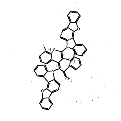 C=C(/C(=C(\C(C)=C(/C)n1c2ccccc2c2c3oc4ccccc4c3ccc21)c1cccc(F)c1)n1c2ccccc2c2c3oc4ccccc4c3ccc21)c1cccc(F)c1